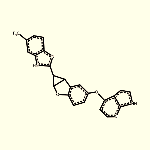 FC(F)(F)c1ccc2nc(C3C4Oc5ccc(Oc6ccnc7[nH]ccc67)cc5C43)[nH]c2c1